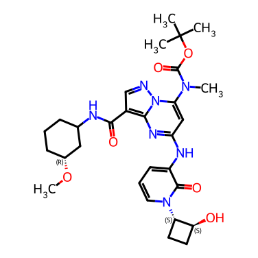 CO[C@@H]1CCCC(NC(=O)c2cnn3c(N(C)C(=O)OC(C)(C)C)cc(Nc4cccn([C@H]5CC[C@@H]5O)c4=O)nc23)C1